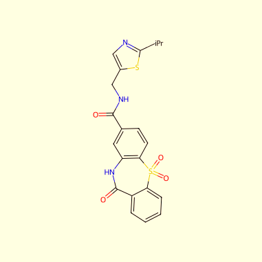 CC(C)c1ncc(CNC(=O)c2ccc3c(c2)NC(=O)c2ccccc2S3(=O)=O)s1